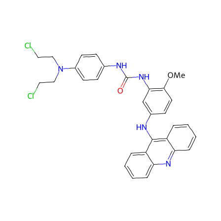 COc1ccc(Nc2c3ccccc3nc3ccccc23)cc1NC(=O)Nc1ccc(N(CCCl)CCCl)cc1